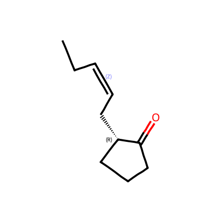 CC/C=C\C[C@H]1CCCC1=O